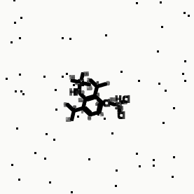 CC(C)c1cccc(C(C)C)c1N[Si](C)(C)C.Cl[SiH](Cl)Cl